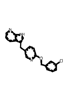 Clc1cccc(COc2ccc(Cc3c[nH]c4ncccc34)cn2)c1